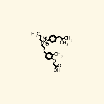 CCCN(CCSc1ccc(OCC(=O)O)c(C)c1)S(=O)(=O)c1ccc(CC(C)C)cc1